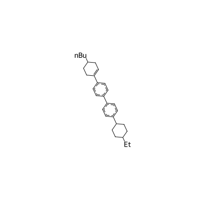 CCCCC1CC=C(c2ccc(-c3ccc(C4CCC(CC)CC4)cc3)cc2)CC1